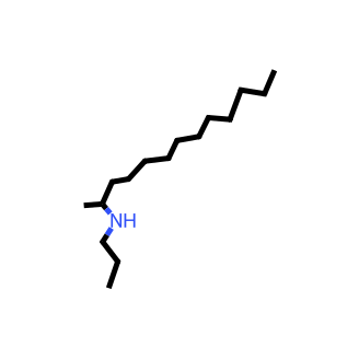 CCCCCCCCCCCC(C)NCCC